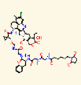 CC[C@@]1(O)C(=O)OCc2c1cc1n(c2=O)Cc2c-1nc1cc(F)c(C)c3c1c2[C@@H](NC(=O)C1(COCNC(=O)CNC(=O)[C@H](Cc2ccccc2)NC(=O)CNC(=O)CNC(=O)CCCCCN2C(=O)CCC2=O)CC1)CC3